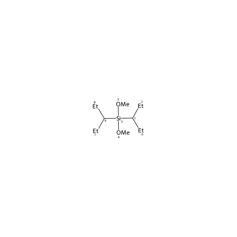 CCC(CC)[Si](OC)(OC)C(CC)CC